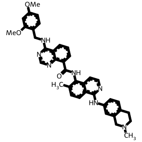 COc1ccc(CNc2ncnc3c(C(=O)Nc4c(C)ccc5c(Nc6ccc7c(c6)CN(C)CC7)nccc45)cccc23)c(OC)c1